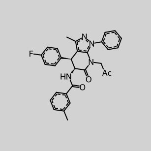 CC(=O)CN1C(=O)[C@@H](NC(=O)c2cccc(C)c2)[C@@H](c2ccc(F)cc2)c2c(C)nn(-c3ccccc3)c21